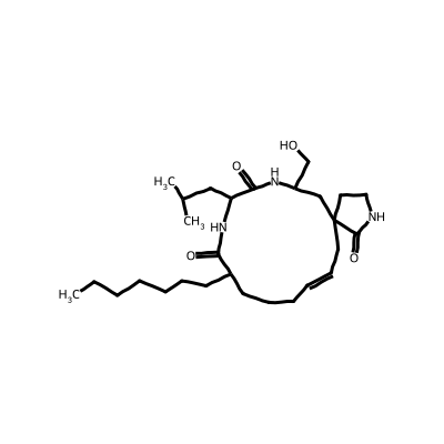 CCCCCCCC1CCC/C=C/CC2(CCNC2=O)CC(CO)NC(=O)C(CC(C)C)NC1=O